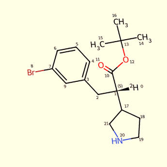 [2H][C@@](Cc1cccc(Br)c1)(C(=O)OC(C)(C)C)C1CCNC1